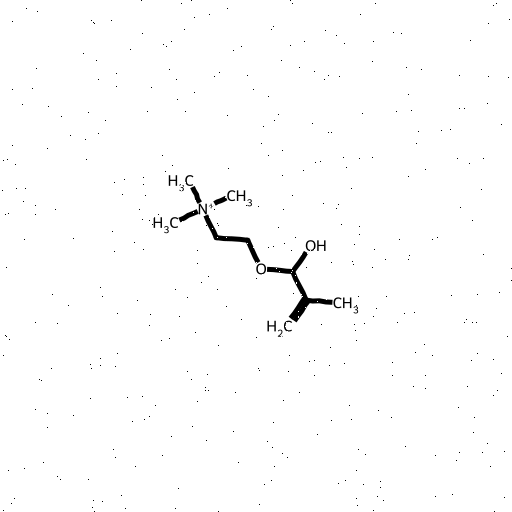 C=C(C)C(O)OCC[N+](C)(C)C